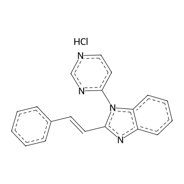 C(=C\c1nc2ccccc2n1-c1ccncn1)/c1ccccc1.Cl